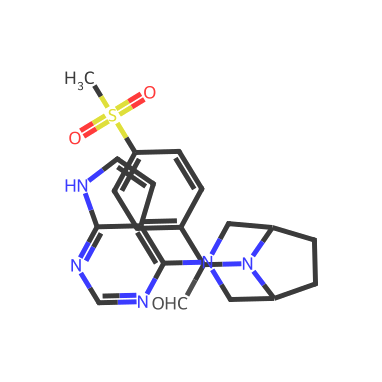 CS(=O)(=O)c1ccc(C(C=O)N2C3CCC2CN(c2ncnc4[nH]ccc24)C3)cc1